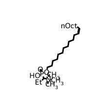 CCCCCCCC/C=C\CCCCCCCCCCCOP(=O)(O)C(CC)[N+](C)(C)C